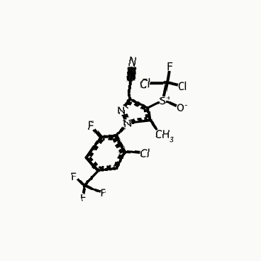 Cc1c([S+]([O-])C(F)(Cl)Cl)c(C#N)nn1-c1c(F)cc(C(F)(F)F)cc1Cl